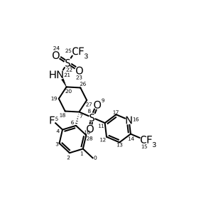 Cc1ccc(F)c([C@]2(S(=O)(=O)c3ccc(C(F)(F)F)nc3)CC[C@@H](NS(=O)(=O)C(F)(F)F)CC2)c1